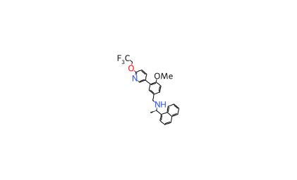 COc1ccc(CN[C@H](C)c2cccc3ccccc23)cc1-c1ccc(OCC(F)(F)F)nc1